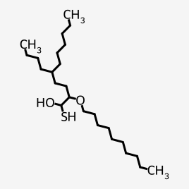 CCCCCCCCCCOC(CCC(CCCC)CCCCCC)C(O)S